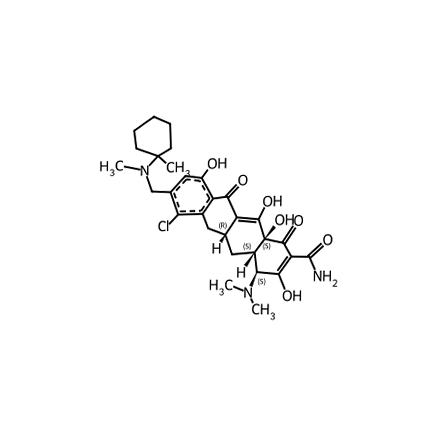 CN(C)[C@@H]1C(O)=C(C(N)=O)C(=O)[C@@]2(O)C(O)=C3C(=O)c4c(O)cc(CN(C)C5(C)CCCCC5)c(Cl)c4C[C@H]3C[C@@H]12